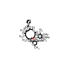 CC[C@H]1OC(=O)[C@H](C)[C@@H](O[C@H]2C[C@@](C)(OC)[C@@H](OC(C)=O)[C@H](C)O2)[C@H](C)[C@@H](O[C@@H]2O[C@H](C)C[C@H](NC)[C@H]2CC(C)=O)[C@](C)(OC)C[C@@H](C)C(=O)/C(C)=C/[C@]1(C)OC(=O)n1ccnc1